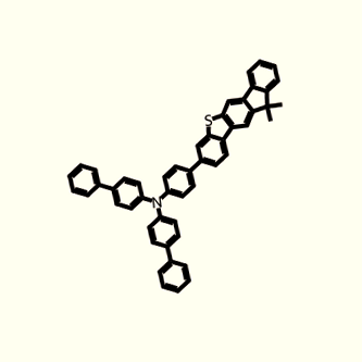 CC1(C)c2ccccc2-c2cc3sc4cc(-c5ccc(N(c6ccc(-c7ccccc7)cc6)c6ccc(-c7ccccc7)cc6)cc5)ccc4c3cc21